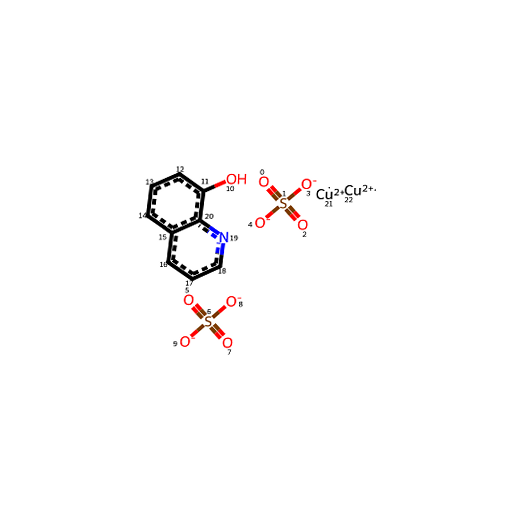 O=S(=O)([O-])[O-].O=S(=O)([O-])[O-].Oc1cccc2cccnc12.[Cu+2].[Cu+2]